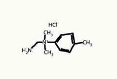 Cc1ccc([N+](C)(C)CN)cc1.Cl